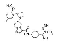 COc1ccc(F)cc1[C@H]1CCCN1c1ccn2ncc(C(=O)N[C@H]3CC[C@H](C(=N)N(C)N=N)CC3)c2c1